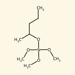 CCCC(C)O[Si](OC)(OC)OC